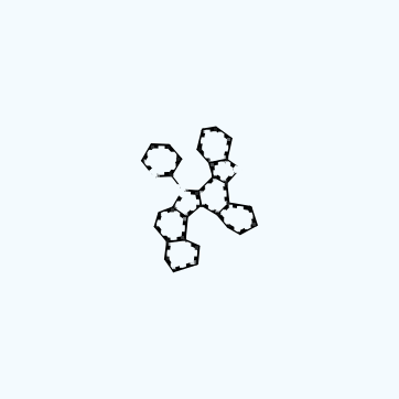 c1ccc(-n2c3ccc4ccccc4c3c3c4ccccc4c4sc5ccccc5c4c32)nc1